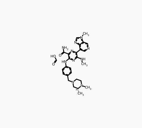 CNc1nc(Nc2ccc(CN3CCN(C)[C@H](C)C3)cc2)c(C(N)=O)nc1-c1cncc2c1ncn2C.O=CO